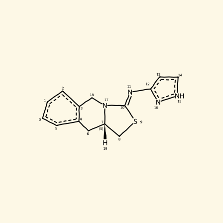 c1ccc2c(c1)C[C@H]1CSC(=Nc3cc[nH]n3)N1C2